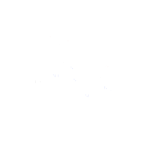 CNC1CCC2(CC1n1cc(C(N)=O)c(Nc3ccccc3)n1)OCCO2